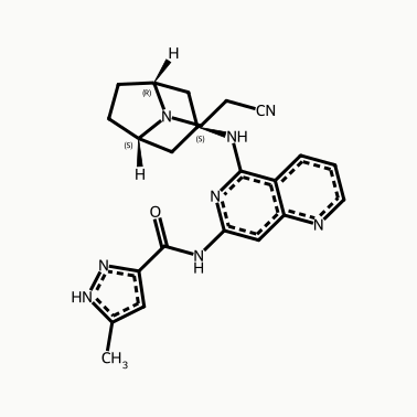 Cc1cc(C(=O)Nc2cc3ncccc3c(N[C@@H]3C[C@H]4CC[C@@H](C3)N4CCC#N)n2)n[nH]1